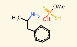 CC(N)Cc1ccccc1.COP(O)(=S)S